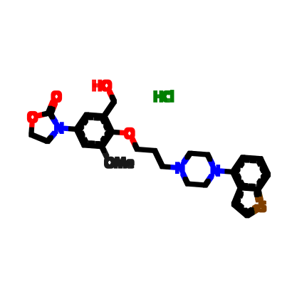 COc1cc(N2CCOC2=O)cc(CO)c1OCCCN1CCN(c2cccc3sccc23)CC1.Cl